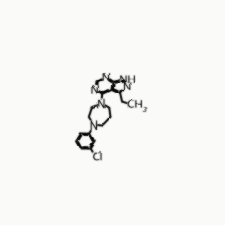 CCc1n[nH]c2ncnc(N3CCCN(c4cccc(Cl)c4)CC3)c12